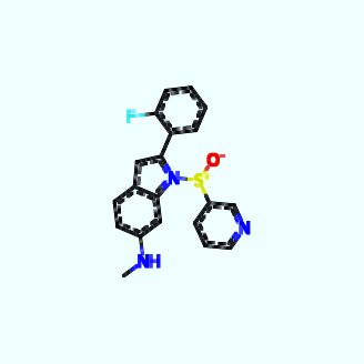 CNc1ccc2cc(-c3ccccc3F)n([S+]([O-])c3cccnc3)c2c1